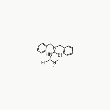 CCC(NC(CC)N(Cc1ccccc1)Cc1ccccc1)N(C)C